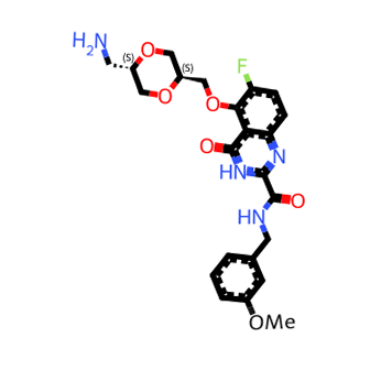 COc1cccc(CNC(=O)c2nc3ccc(F)c(OC[C@@H]4CO[C@@H](CN)CO4)c3c(=O)[nH]2)c1